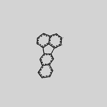 [c]1[c]c2c3c(cccc3c1)-c1cc3ccccc3cc1-2